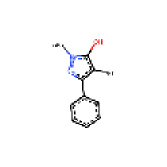 CCCCn1nc(-c2ccccc2)c(CC)c1O